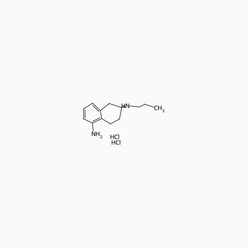 CCCN[C@H]1CCc2c(N)cccc2C1.Cl.Cl